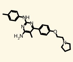 Cc1ccc(Nc2nc(N)c(C)c(-c3ccc(OCCN4CCCC4)cc3)n2)cc1